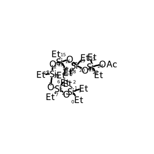 CC[Si](CC)(CC)O[Si](CC)(CC)O[Si](CC)(CC)O[Si](CC)(CC)O[Si](CC)(CC)O[Si](CC)(CC)OC(C)=O